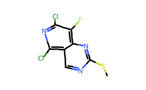 CSc1ncc2c(Cl)nc(Cl)c(F)c2n1